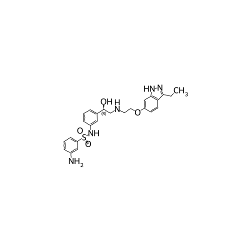 CCc1n[nH]c2cc(OCCNC[C@H](O)c3cccc(NS(=O)(=O)c4cccc(N)c4)c3)ccc12